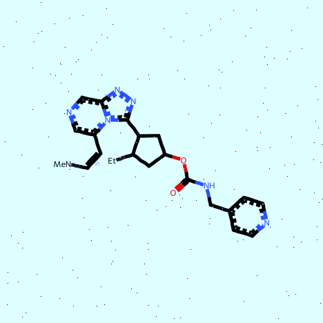 CCC1CC(OC(=O)NCc2ccncc2)CC1c1nnc2cncc(/C=C\NC)n12